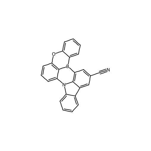 N#Cc1cc2c3c(c1)c1ccccc1n3-c1cccc3c1B2c1ccccc1O3